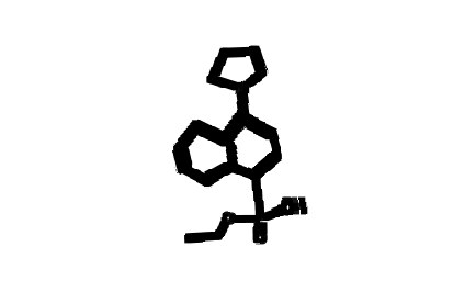 CCOP(=O)(O)c1ccc(N2CCCC2)c2ccccc12